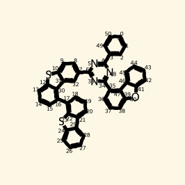 c1ccc(-c2nc(-c3ccc4sc5cccc(-c6cccc7c6sc6ccccc67)c5c4c3)nc(-c3cccc4oc5ccccc5c34)n2)cc1